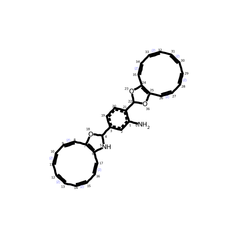 Nc1cc(C2NC3=C(\C=C/C=C\C=C/C=C\C=C/3)O2)ccc1C1OC2=C(\C=C/C=C\C=C/C=C\C=C/2)O1